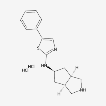 Cl.Cl.c1ccc(-c2cnc(N[C@H]3C[C@H]4CNC[C@H]4C3)s2)cc1